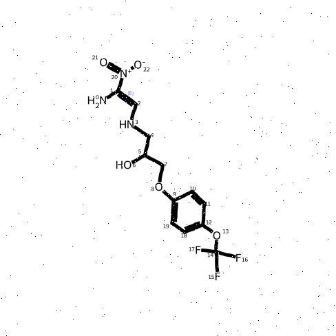 N/C(=C\NCC(O)COc1ccc(OC(F)(F)F)cc1)[N+](=O)[O-]